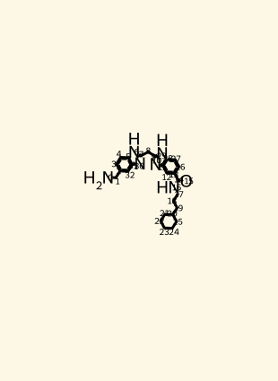 NCc1ccc2[nH]c(Cc3nc4cc(C(=O)NCCCC5CCCCC5)ccc4[nH]3)nc2c1